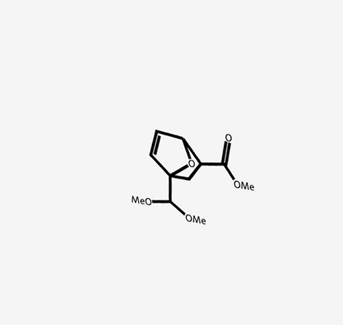 COC(=O)C1CC2(C(OC)OC)C=CC1O2